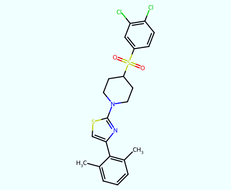 Cc1cccc(C)c1-c1csc(N2CCC(S(=O)(=O)c3ccc(Cl)c(Cl)c3)CC2)n1